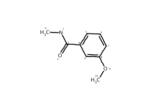 C[N]C(=O)c1cccc(OC)c1